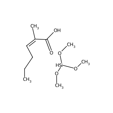 CCCC=C(C)C(=O)O.CO[SiH](OC)OC